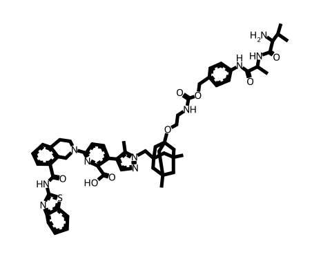 Cc1c(-c2ccc(N3CCc4cccc(C(=O)Nc5nc6ccccc6s5)c4C3)nc2C(=O)O)cnn1CC12CC3(C)CC(C)(C1)CC(OCCNC(=O)OCc1ccc(NC(=O)C(C)NC(=O)C(N)C(C)C)cc1)(C3)C2